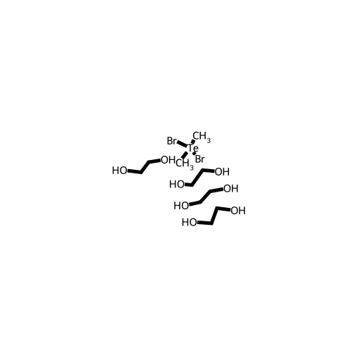 C[Te](C)(Br)Br.OCCO.OCCO.OCCO.OCCO